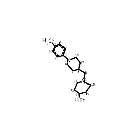 Cc1ccc(N2CCC(CN3CCC(C(C)C)CC3)CC2)cc1